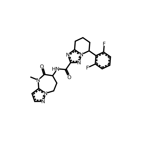 CN1C(=O)C(NC(=O)c2nc3n(n2)C(c2c(F)cccc2F)CCC3)CCn2nccc21